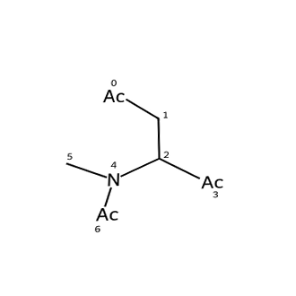 CC(=O)CC(C(C)=O)N(C)C(C)=O